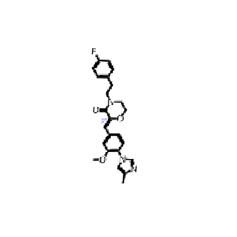 COc1cc(/C=C2\OCCN(CCc3ccc(F)cc3)C2=O)ccc1-n1cnc(C)c1